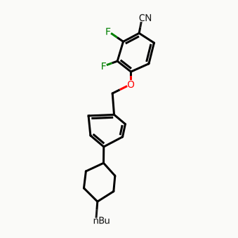 CCCCC1CCC(c2ccc(COc3ccc(C#N)c(F)c3F)cc2)CC1